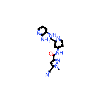 Cn1nc(C(=O)Nc2ccnc(CNc3cccnc3N)c2)cc1C#N